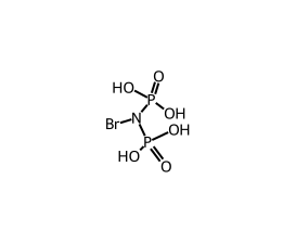 O=P(O)(O)N(Br)P(=O)(O)O